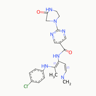 C=N/C=C\C(NC(=O)c1cnc(N2CCNC(=O)C2)nc1)=C(/C)Nc1ccc(Cl)cc1